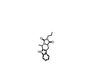 CCCN1C(=O)C2Cc3c([nH]c4ccccc34)C(C)N2C1=O